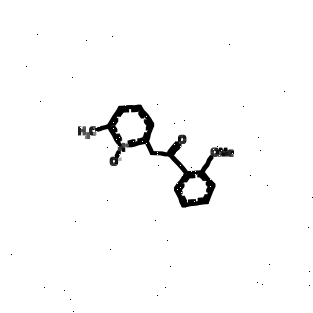 COc1ccccc1C(=O)Cc1cccc(C)[n+]1[O-]